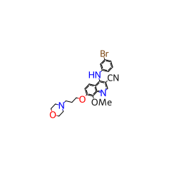 COc1c(OCCCN2CCOCC2)ccc2c(Nc3cccc(Br)c3)c(C#N)cnc12